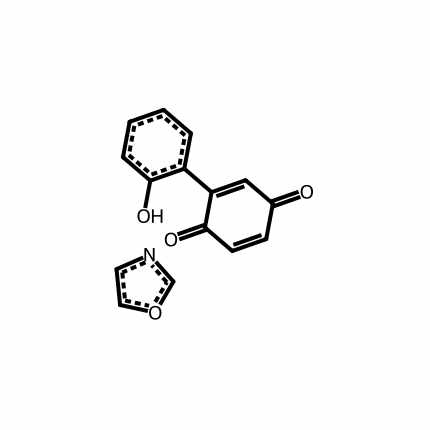 O=C1C=CC(=O)C(c2ccccc2O)=C1.c1cocn1